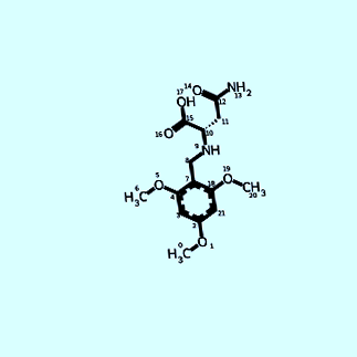 COc1cc(OC)c(CN[C@@H](CC(N)=O)C(=O)O)c(OC)c1